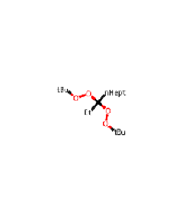 CCCCCCCC(CC)(OOC(C)(C)C)OOC(C)(C)C